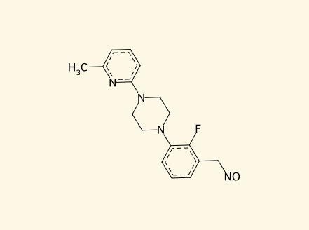 Cc1cccc(N2CCN(c3cccc(CN=O)c3F)CC2)n1